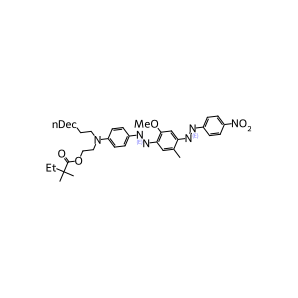 CCCCCCCCCCCCN(CCOC(=O)C(C)(C)CC)c1ccc(/N=N/c2cc(C)c(/N=N/c3ccc([N+](=O)[O-])cc3)cc2OC)cc1